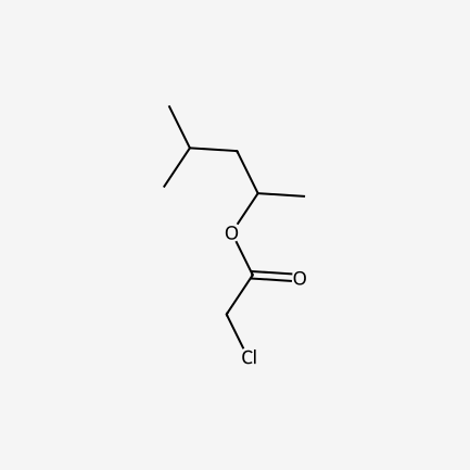 CC(C)CC(C)OC(=O)CCl